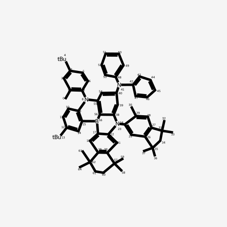 Cc1cc(C(C)(C)C)ccc1N1c2ccc(C(C)(C)C)cc2B2c3cc4c(cc3N(c3cc5c(cc3C)C(C)(C)CC5(C)C)c3cc(N(c5ccccc5)c5ccccc5)cc1c32)C(C)(C)CCC4(C)C